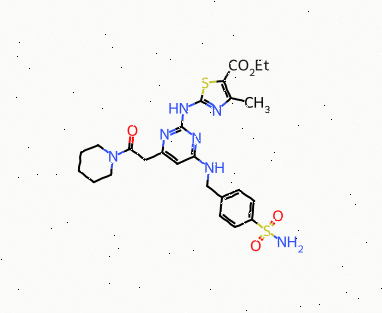 CCOC(=O)c1sc(Nc2nc(CC(=O)N3CCCCC3)cc(NCc3ccc(S(N)(=O)=O)cc3)n2)nc1C